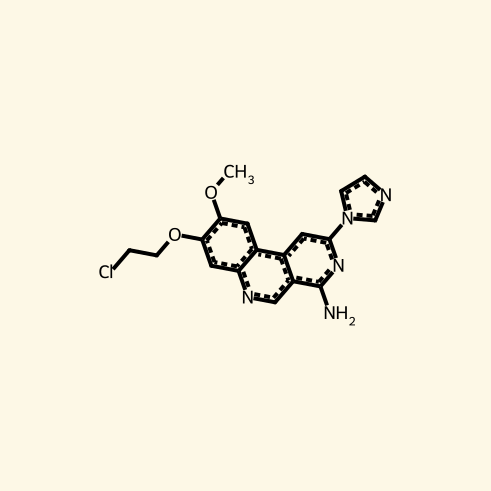 COc1cc2c(cc1OCCCl)ncc1c(N)nc(-n3ccnc3)cc12